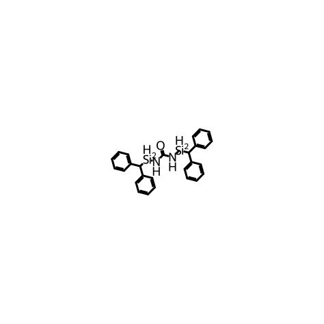 O=C(N[SiH2]C(c1ccccc1)c1ccccc1)N[SiH2]C(c1ccccc1)c1ccccc1